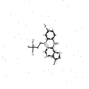 Cc1csc2c(Nc3ccc(F)cc3OCCC(C)(F)F)ncnc12